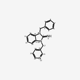 N=c1n(Cc2ccccc2)c2ccccc2n1Cc1cccnc1